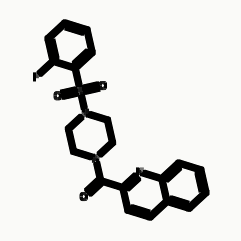 O=C(c1ccc2ccccc2n1)N1CCN(S(=O)(=O)c2ccccc2F)CC1